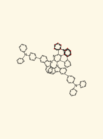 c1ccc(-c2ccccc2-c2nc(-n3c4ccccc4c4cc(-c5ccc(N(c6ccccc6)c6ccccc6)cc5)ccc43)c(-n3c4ccccc4c4cc(-c5ccc(N(c6ccccc6)c6ccccc6)cc5)ccc43)c(-c3ccccc3-c3cccnc3)c2-c2ccccc2-c2ccccc2)cc1